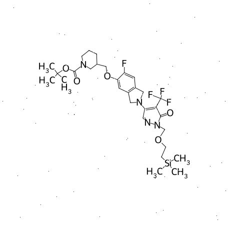 CC(C)(C)OC(=O)N1CCCC(COc2cc3c(cc2F)CN(c2cnn(COCC[Si](C)(C)C)c(=O)c2C(F)(F)F)C3)C1